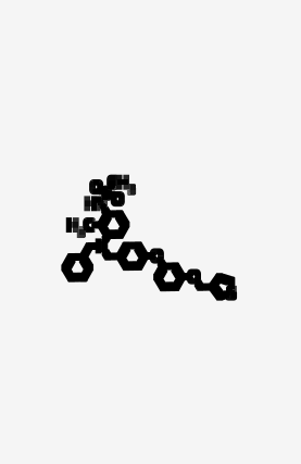 Cc1c(NS(C)(=O)=O)cccc1N(Cc1ccccc1)Cc1ccc(Oc2cccc(OCc3ccsc3)c2)cc1